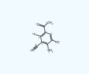 CC(=O)c1cc(Cl)c(N)c(C#N)c1F